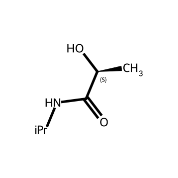 CC(C)NC(=O)[C@H](C)O